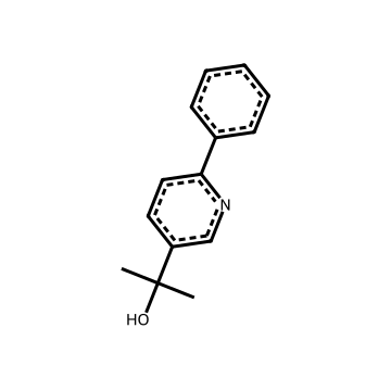 CC(C)(O)c1ccc(-c2ccccc2)nc1